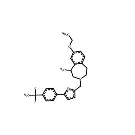 CC1CN(Cc2ccc(-c3ccc(C(C)(F)F)cc3)o2)CCc2ccc(OCC(=O)O)cc21